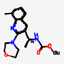 Cc1cccc2cc([C@H](C)NC(=O)OC(C)(C)C)c(N3CCOCC3)nc12